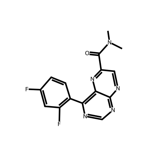 CN(C)C(=O)c1cnc2ncnc(-c3ccc(F)cc3F)c2n1